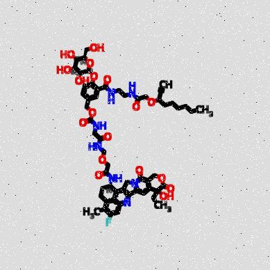 C#CC(CCCCCC)OCC(=O)NCCNC(=O)c1cc(COC(=O)NCC(=O)NCOCC(=O)N[C@H]2CCc3c(C)c(F)cc4nc5c(c2c34)Cn2c-5cc3c(c2=O)COC(=O)[C@]3(O)CC)ccc1O[C@@H]1O[C@H](CO)[C@@H](O)[C@H](O)[C@H]1O